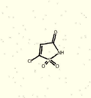 O=C1C=C(Cl)S(=O)(=O)N1